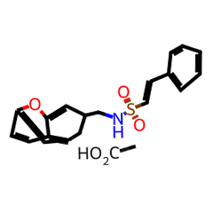 CC(=O)O.O=S(=O)(C=Cc1ccccc1)NCC1C=C2Oc3ccc2c(c3)C1